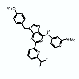 COc1ccc(Cn2cnc3c([AsH]c4ccnc(NC(C)=O)c4)nc(-c4cccc(C(F)F)n4)nc32)cc1